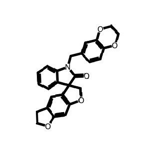 O=C1N(Cc2ccc3c(c2)OCCO3)c2ccccc2C12COc1cc3c(cc12)CCO3